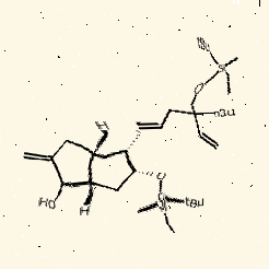 C=CC(C/C=C/[C@H]1[C@H]2CC(=C)C(O)[C@H]2C[C@H]1O[Si](C)(C)C(C)(C)C)(CCCC)O[Si](C)(C)C(C)(C)C